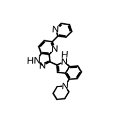 c1ccc(-c2ccc3[nH]nc(-c4cc5c(N6CCCCC6)cccc5[nH]4)c3n2)nc1